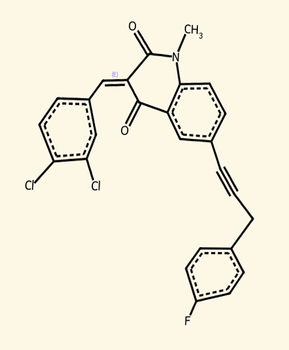 CN1C(=O)/C(=C/c2ccc(Cl)c(Cl)c2)C(=O)c2cc(C#CCc3ccc(F)cc3)ccc21